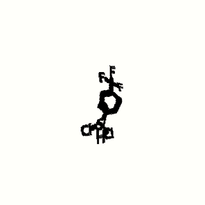 FC(F)(F)c1ccc([SiH](Cl)Cl)cc1